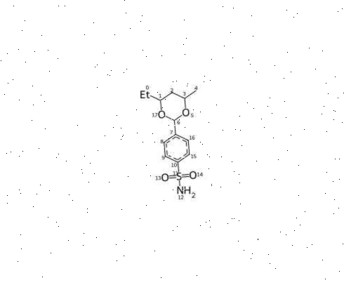 CCC1CC(C)OC(c2ccc(S(N)(=O)=O)cc2)O1